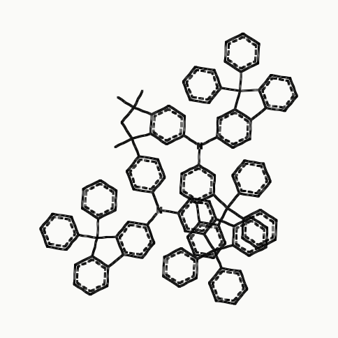 CC1(C)CC(C)(c2ccc(N(c3ccc4c(c3)C(c3ccccc3)(c3ccccc3)c3ccccc3-4)c3ccc4c(c3)C(c3ccccc3)(c3ccccc3)c3ccccc3-4)cc2)c2cc(N(c3ccc4c(c3)C(c3ccccc3)(c3ccccc3)c3ccccc3-4)c3ccc4c(c3)C(c3ccccc3)(c3ccccc3)c3ccccc3-4)ccc21